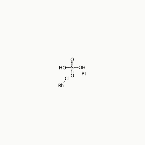 O=S(=O)(O)O.[Cl][Rh].[Pt]